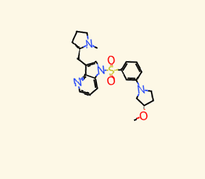 CO[C@H]1CCN(c2cccc(S(=O)(=O)n3cc(C[C@H]4CCCN4C)c4ncccc43)c2)C1